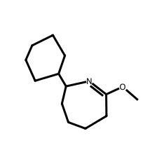 COC1=NC(C2CCCCC2)CCCC1